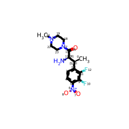 C[C@@H](c1ccc([N+](=O)[O-])c(F)c1F)[C@@H](N)C(=O)N1CCN(C)CC1